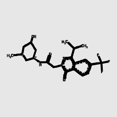 CC(C)c1nn(CC(=O)N[C@@H]2CC(O)CN(C)C2)c(=O)c2ccc(C(F)(F)F)cc12